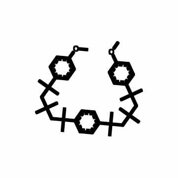 COc1ccc(C(C)(C)CC(C)(C)CC(C)(C)c2ccc(C(C)(C)CC(C)(C)CC(C)(C)c3ccc(OC)cc3)cc2)cc1